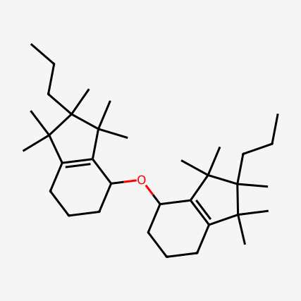 CCCC1(C)C(C)(C)C2=C(C(OC3CCCC4=C3C(C)(C)C(C)(CCC)C4(C)C)CCC2)C1(C)C